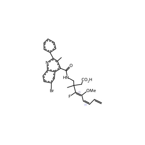 C=C/C=C\C(OC)=C(/F)C(C)(CNC(=O)c1c(C)c(-c2ccccc2)nc2ccc(Br)cc12)CC(=O)O